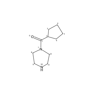 O=C(C1CCCC1)N1CCNCC1